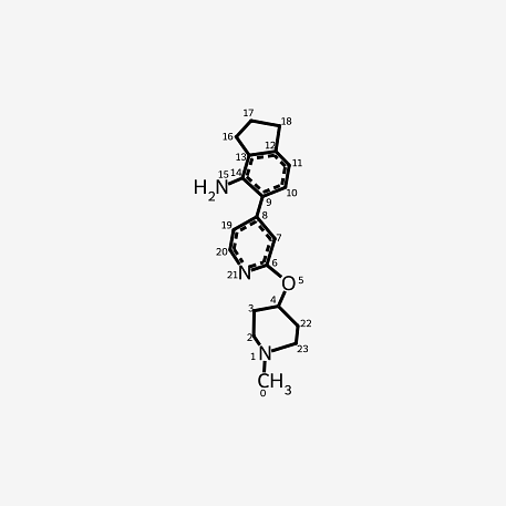 CN1CCC(Oc2cc(-c3ccc4c(c3N)CCC4)ccn2)CC1